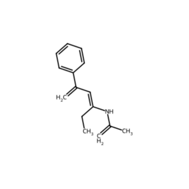 C=C(C)N/C(=C/C(=C)c1ccccc1)CC